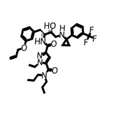 C=CCOc1cccc(C[C@H](NC(=O)c2cc(C(=O)N(CCC)CCC)n(CC)n2)[C@H](O)CNC2(c3cccc(C(F)(F)F)c3)CC2)c1